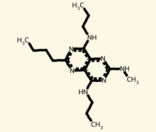 CCCCc1nc(NCCC)c2nc(NC)nc(NCCC)c2n1